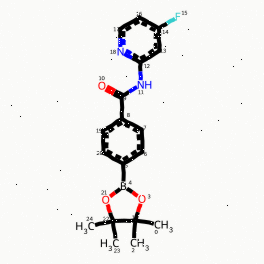 CC1(C)OB(c2ccc(C(=O)Nc3cc(F)ccn3)cc2)OC1(C)C